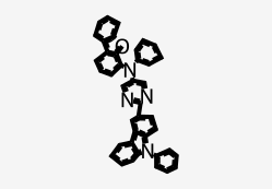 c1ccc(N(c2cnc(-c3ccc4c(c3)c3ccccc3n4-c3ccccc3)nc2)c2cccc3c2oc2ccccc23)cc1